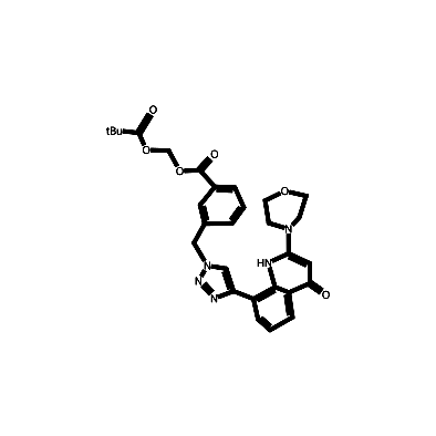 CC(C)(C)C(=O)OCOC(=O)c1cccc(Cn2cc(-c3cccc4c(=O)cc(N5CCOCC5)[nH]c34)nn2)c1